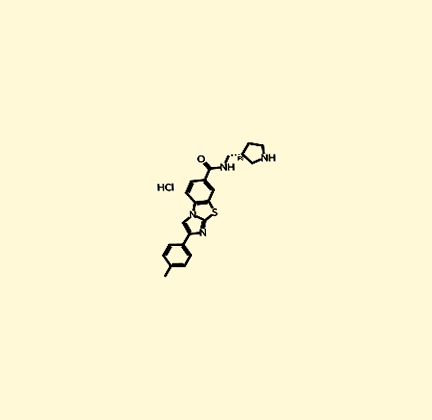 Cc1ccc(-c2cn3c(n2)sc2cc(C(=O)NC[C@@H]4CCNC4)ccc23)cc1.Cl